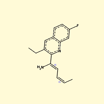 C/C=C\C=C(/N)c1nc2cc(F)ccc2cc1CC